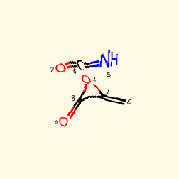 C=C1OC1=O.N=C=O